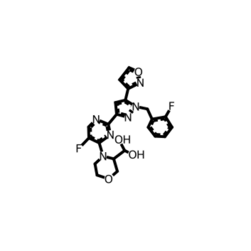 OC(O)C1COCCN1c1nc(-c2cc(-c3ccon3)n(Cc3ccccc3F)n2)ncc1F